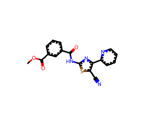 COC(=O)c1cccc(C(=O)Nc2nc(-c3ccccn3)c(C#N)s2)c1